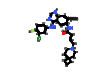 COc1cc2ncnc(Nc3ccc(F)c(Cl)c3)c2cc1NC(=O)C=CCN1CCC2(CCC2)CC1